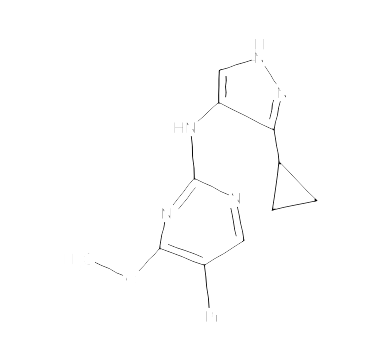 COc1nc(Nc2c[nH]nc2C2CC2)ncc1Br